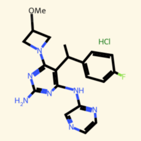 COC1CN(c2nc(N)nc(Nc3cnccn3)c2C(C)c2ccc(F)cc2)C1.Cl